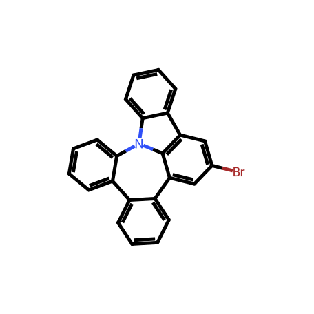 Brc1cc2c3c(c1)c1ccccc1n3-c1ccccc1-c1ccccc1-2